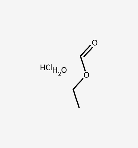 CCOC=O.Cl.O